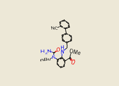 CCCCN(C(N)=O)c1cccc(C(=O)OC)c1NCc1ccc(-c2ccccc2C#N)cc1